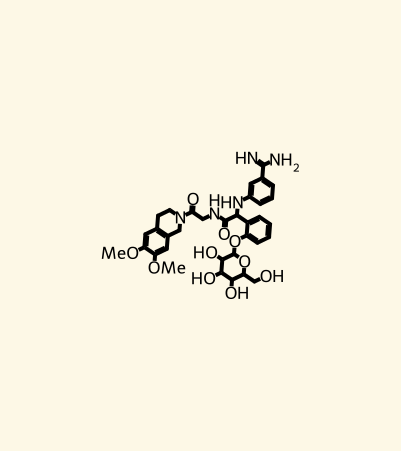 COc1cc2c(cc1OC)CN(C(=O)CNC(=O)C(Nc1cccc(C(=N)N)c1)c1ccccc1OC1OC(CO)C(O)C(O)C1O)CC2